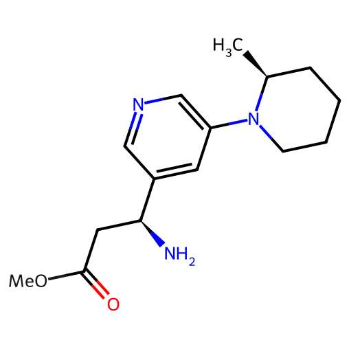 COC(=O)C[C@H](N)c1cncc(N2CCCC[C@@H]2C)c1